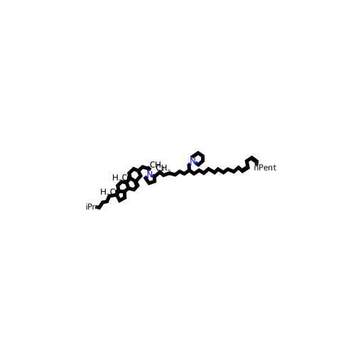 C=C(CCCCCC(CCCCCCCCCC/C=C\C/C=C\CCCCC)CN1CCCCC1)C1CCCN1C(=C)CC1CCC2(C)C(=CCC3C2CCC2(C)C(CCCCC(C)C)CCC32)C1